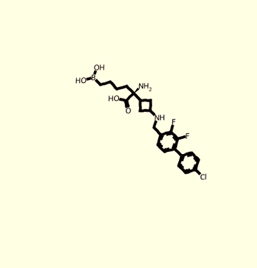 N[C@](CCCCB(O)O)(C(=O)O)C1CC(NCc2ccc(-c3ccc(Cl)cc3)c(F)c2F)C1